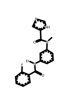 CCN(C(=O)c1ccccc1F)c1cccc(N(C)C(=O)c2cnc[nH]2)c1